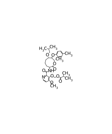 COc1ccnc(C(=O)N[C@H]2CCC[C@H](OCC(C)C)[C@@H](Oc3ccc(C)cc3)[C@H](C)OC2=O)c1OCOC(=O)C(C)C